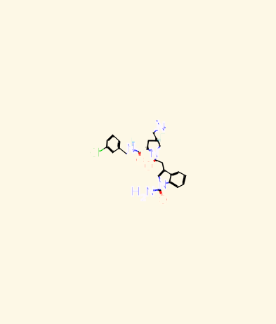 CN(C)C[C@@]1(F)C[C@@H](C(=O)N(F)Cc2cccc(Cl)c2)N(C(=O)Cc2cn(C(N)=O)c3ccccc23)C1